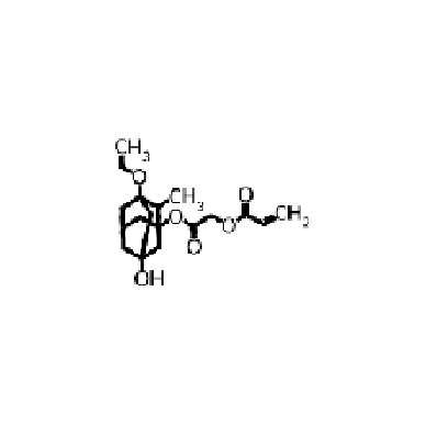 C=CC(=O)OCC(=O)OC12CC3CC(O)(CC(OCC)(C3)C1C)C2